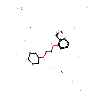 C=Cc1ccccc1OCCOC1CCCCC1